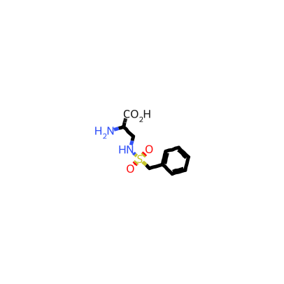 NC(CNS(=O)(=O)Cc1ccccc1)C(=O)O